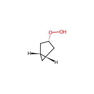 OO[C@@H]1C[C@@H]2C[C@@H]2C1